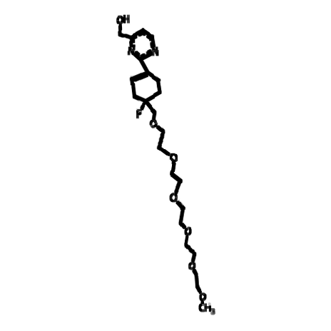 COCCOCCOCCOCCOCCOC[C@]1(F)CC=C(c2nccc(CO)n2)CC1